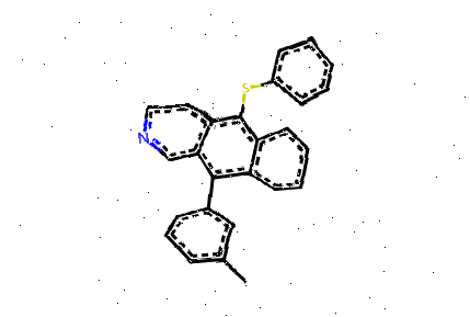 Cc1cccc(-c2c3ccccc3c(Sc3ccccc3)c3ccncc23)c1